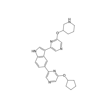 c1cc2[nH]cc(-c3cncc(OC4CCCNC4)n3)c2cc1-c1cncc(OC2CCCC2)n1